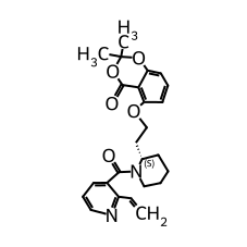 C=Cc1ncccc1C(=O)N1CCCC[C@H]1CCOc1cccc2c1C(=O)OC(C)(C)O2